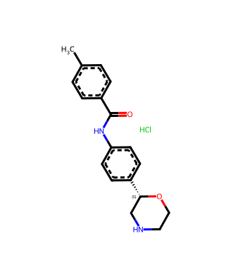 Cc1ccc(C(=O)Nc2ccc([C@H]3CNCCO3)cc2)cc1.Cl